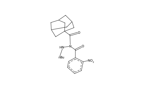 CCCCNN(C(=O)c1ccccc1[N+](=O)[O-])C(=O)C12CC3CC(CC(C3)C1)C2